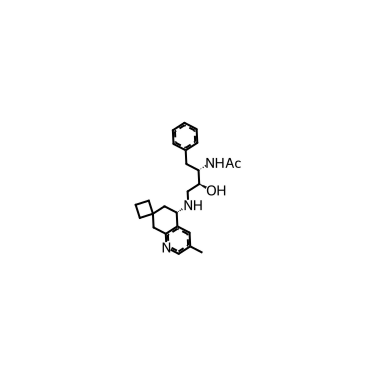 CC(=O)N[C@@H](Cc1ccccc1)[C@@H](O)CN[C@H]1CC2(CCC2)Cc2ncc(C)cc21